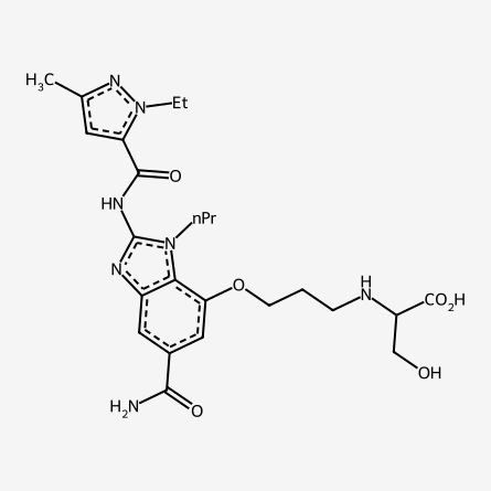 CCCn1c(NC(=O)c2cc(C)nn2CC)nc2cc(C(N)=O)cc(OCCCNC(CO)C(=O)O)c21